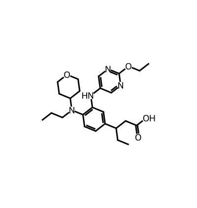 CCCN(c1ccc(C(CC)CC(=O)O)cc1Nc1cnc(OCC)nc1)C1CCOCC1